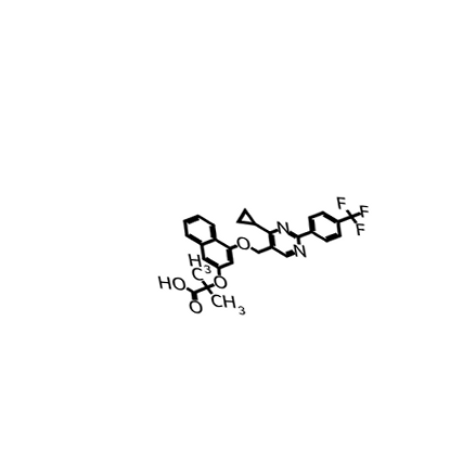 CC(C)(Oc1cc(OCc2cnc(-c3ccc(C(F)(F)F)cc3)nc2C2CC2)c2ccccc2c1)C(=O)O